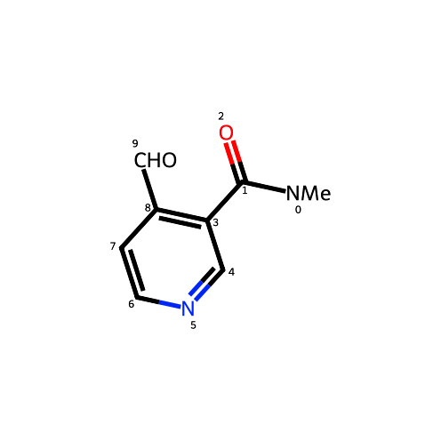 CNC(=O)c1cnccc1C=O